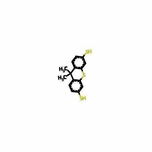 CC1(C)c2ccc(S)cc2Sc2cc(S)ccc21